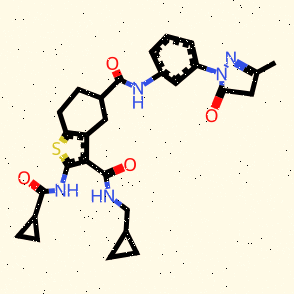 CC1=NN(c2cccc(NC(=O)C3CCc4sc(NC(=O)C5CC5)c(C(=O)NCC5CC5)c4C3)c2)C(=O)C1